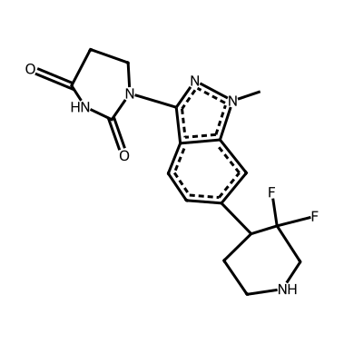 Cn1nc(N2CCC(=O)NC2=O)c2ccc(C3CCNCC3(F)F)cc21